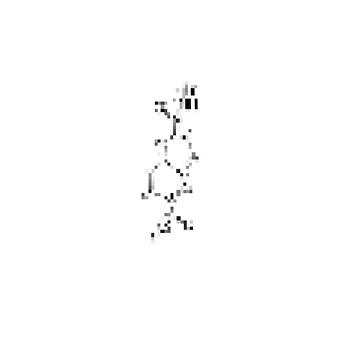 CC(C)NC(=O)c1ccc2cc(C(N)=O)ccc2c1